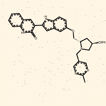 CO[C@@H]1C[C@@H](COc2ccc3[nH]c(-c4cc5ccccc5[nH]c4=O)cc3c2)N(Cc2cnc(C)nc2)C1